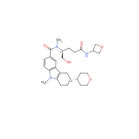 CN(C(=O)c1ccc2c(c1)c1c(n2C)CC[C@@H](C2CCOCC2)C1)[C@H](CO)CCC(=O)NC1COC1